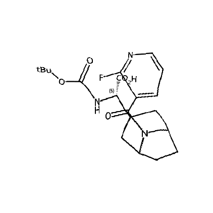 CC(C)(C)OC(=O)N[C@H](C(=O)O)C1CC2CCC(C1)N2C(=O)c1cccnc1F